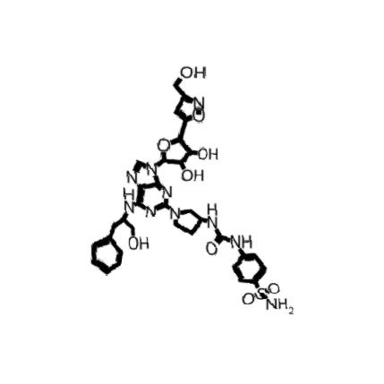 NS(=O)(=O)c1ccc(NC(=O)NC2CCN(c3nc(NC(CO)Cc4ccccc4)c4ncn(C5OC(c6cc(CO)no6)C(O)C5O)c4n3)C2)cc1